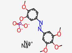 COc1ccc(N=Nc2cc(OC)c(OC)c(OC)c2)cc1OP(=O)([O-])[O-].[Na+].[Na+]